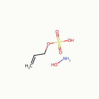 C=CCOS(=O)(=O)O.NO